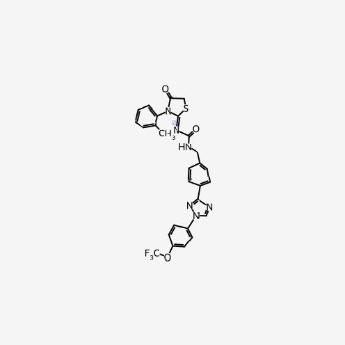 Cc1ccccc1N1C(=O)CS/C1=N\C(=O)NCc1ccc(-c2ncn(-c3ccc(OC(F)(F)F)cc3)n2)cc1